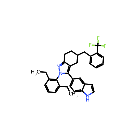 CCc1cccc(CC)c1-n1nc2c(c1-c1ccc3[nH]ccc3c1)CC(Cc1ccccc1C(F)(F)F)CC2